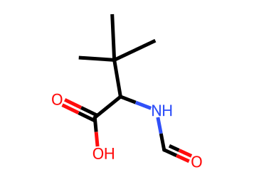 CC(C)(C)C(NC=O)C(=O)O